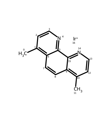 Cc1ccnc2c1ccc1c(C)ccnc12.[Ir+]